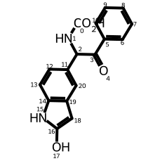 O=C(O)NC(C(=O)c1ccccc1)c1ccc2[nH]c(O)cc2c1